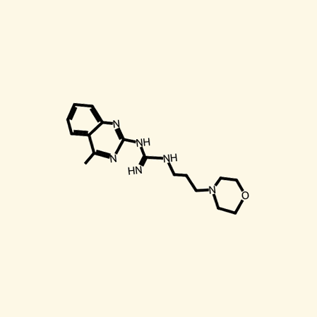 Cc1nc(NC(=N)NCCCN2CCOCC2)nc2ccccc12